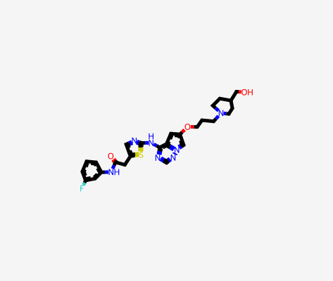 O=C(Cc1cnc(Nc2ncnn3cc(OCCCN4CCC(CO)CC4)cc23)s1)Nc1cccc(F)c1